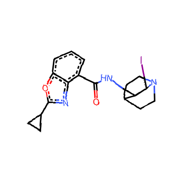 O=C(NC1C2CCN(CC2)C1I)c1cccc2oc(C3CC3)nc12